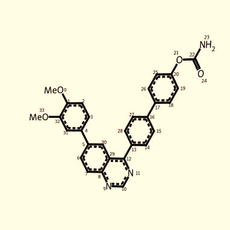 COc1ccc(-c2ccc3ncnc(-c4ccc(-c5ccc(OC(N)=O)cc5)cc4)c3c2)cc1OC